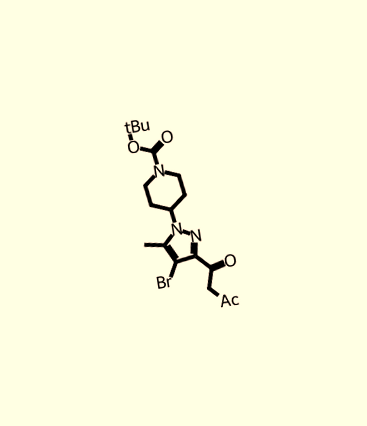 CC(=O)CC(=O)c1nn(C2CCN(C(=O)OC(C)(C)C)CC2)c(C)c1Br